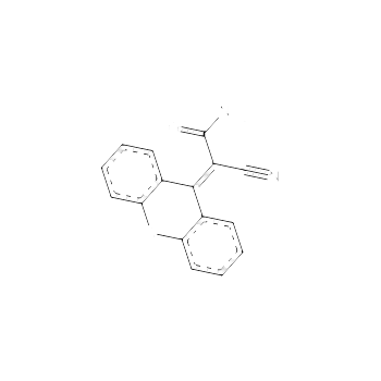 N#CC(C(N)=O)=C1c2ccccc2Sc2ccccc21